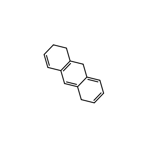 C1=CCC2=CC3=C(CCC=C3)CC2=C1